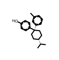 Cc1cccc([C@]2(c3ccc(O)cc3)CC[C@H](C(C)C)CC2)c1